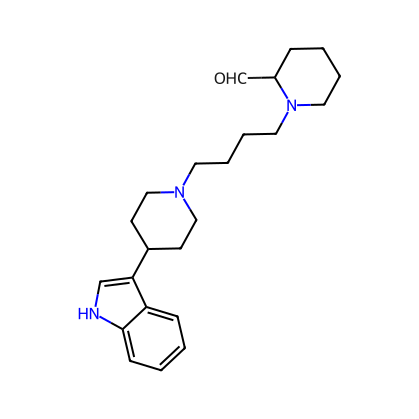 O=CC1CCCCN1CCCCN1CCC(c2c[nH]c3ccccc23)CC1